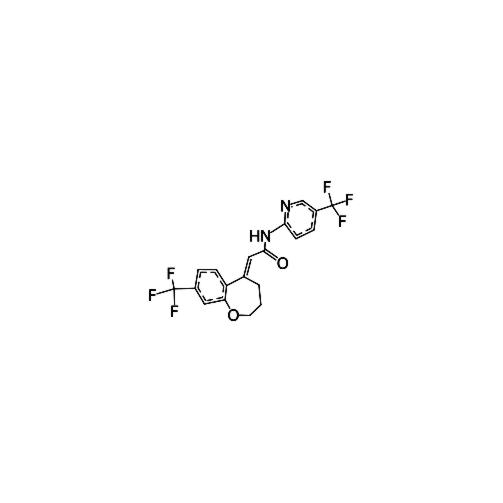 O=C(C=C1CCCOc2cc(C(F)(F)F)ccc21)Nc1ccc(C(F)(F)F)cn1